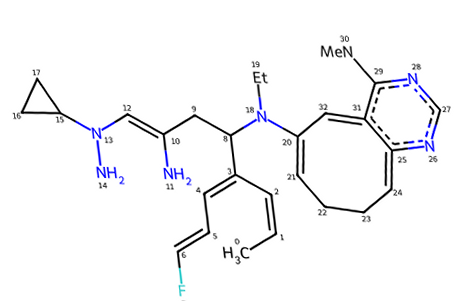 C\C=C/C(=C\C=C\F)C(C/C(N)=C/N(N)C1CC1)N(CC)C1=C\CC/C=c2/ncnc(NC)/c2=C/1